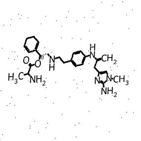 C=C(Cc1cn(C)c(N)n1)Nc1ccc(CCNC[C@H](OC(=O)C(C)N)C2=CCCC=C2)cc1